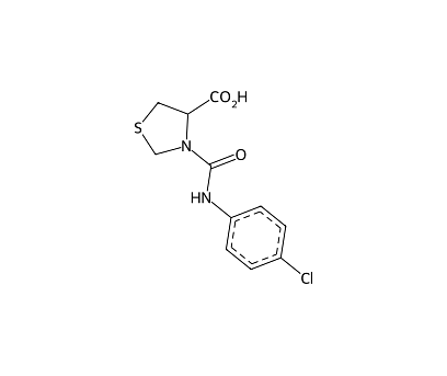 O=C(O)C1CSCN1C(=O)Nc1ccc(Cl)cc1